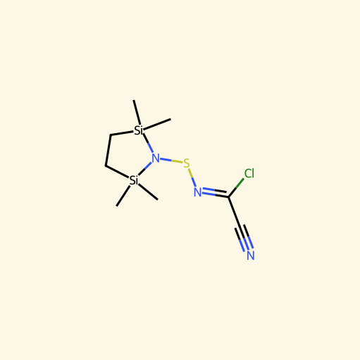 C[Si]1(C)CC[Si](C)(C)N1SN=C(Cl)C#N